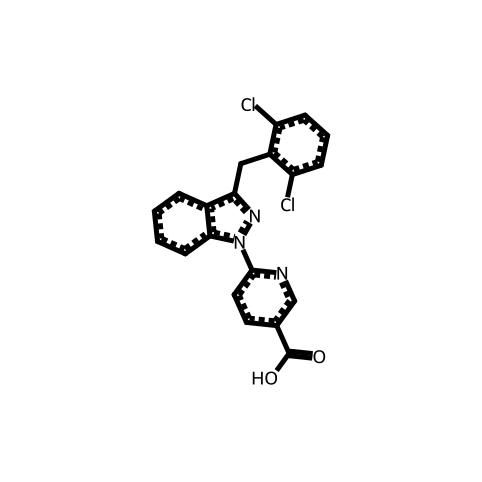 O=C(O)c1ccc(-n2nc(Cc3c(Cl)cccc3Cl)c3ccccc32)nc1